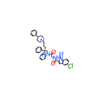 O=C(CNC(=O)c1cc2cc(Cl)ccc2[nH]1)NCC(CCCN1CCC(c2ccccc2)CC1)(c1ccccc1)c1ccccc1